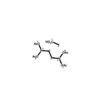 CC(=O)O.CC(=O)ON(CCN(OC(C)=O)OC(C)=O)OC(C)=O